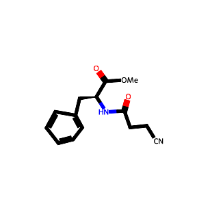 COC(=O)[C@H](Cc1ccccc1)NC(=O)CCC#N